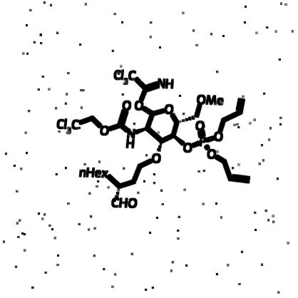 C=CCOP(=O)(OCC=C)O[C@H]1[C@H](OCC[C@H](C=O)CCCCCC)[C@@H](NC(=O)OCC(Cl)(Cl)Cl)C(OC(=N)C(Cl)(Cl)Cl)O[C@@H]1COC